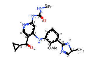 COc1c(Nc2cc(NC(=O)NC(C)C)ncc2C(=O)C2CC2)cccc1C1=NC(C)C=N1